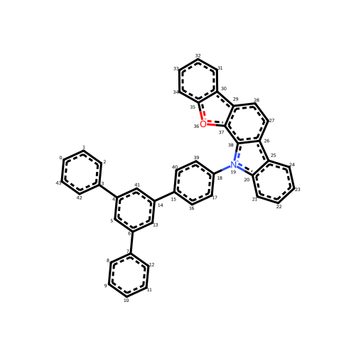 c1ccc(-c2cc(-c3ccccc3)cc(-c3ccc(-n4c5ccccc5c5ccc6c7ccccc7oc6c54)cc3)c2)cc1